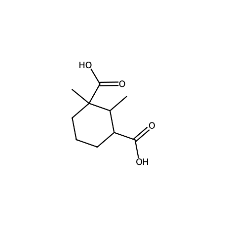 CC1C(C(=O)O)CCCC1(C)C(=O)O